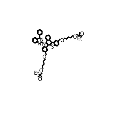 CCC1(COCCCCCOCc2ccc3sc4c(c3c2)c2ccccc2c2c4c3cc(COCCCCCOCC4(CC)COC4)ccc3n2-c2nc(-c3ccccc3)c3ccccc3n2)COC1